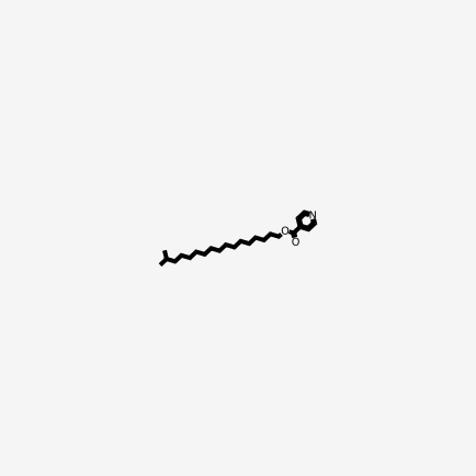 CC(C)CCCCCCCCCCCCCCCOC(=O)c1ccncc1